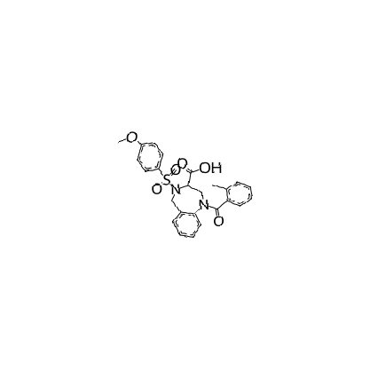 COc1ccc(S(=O)(=O)N2Cc3ccccc3N(C(=O)c3ccccc3C)CC2C(=O)O)cc1